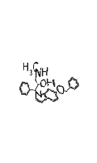 CNCC(O)C(c1ccccc1)n1ccc2ccc(OCc3ccccc3)cc21